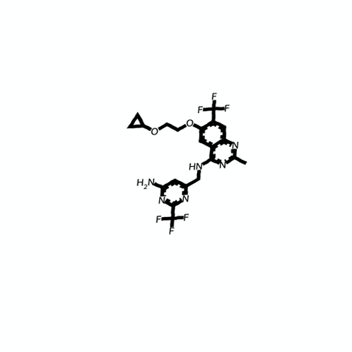 Cc1nc(NCc2cc(N)nc(C(F)(F)F)n2)c2cc(OCCOC3CC3)c(C(F)(F)F)cc2n1